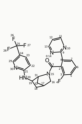 O=C(c1c(F)cccc1-c1ncccn1)N1CC2CC(Nc3ccc(C(F)(F)F)cn3)C1C2